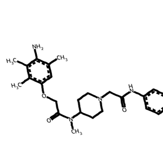 Cc1cc(OCC(=O)N(C)C2CCN(CC(=O)Nc3ccccc3)CC2)c(C)c(C)c1N